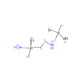 CCCC(C)(CC)NCCC(C)(N)CC